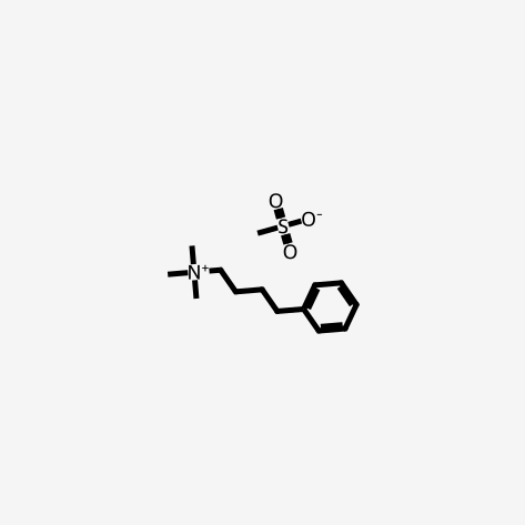 CS(=O)(=O)[O-].C[N+](C)(C)CCCCc1ccccc1